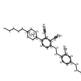 CCCCCC12CCC(c3ccc(CCc4ccc(CCC)cc4Br)c(C#N)c3C#N)(CC1)CC2